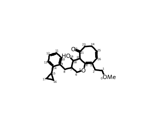 COCCC1=C2OCC(Cc3ccccc3C3CC3)C(O)C2C(=O)CCC=C1